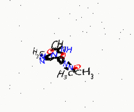 CC(C)C(=O)N1CCN(c2ccc(-c3cc4ncn(C)c4c(O[C@H](C)C4CNC(=O)C4)n3)cc2)CC1